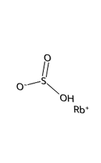 O=S([O-])O.[Rb+]